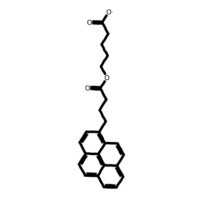 [O]C(=O)CCCCOC(=O)CCCc1ccc2ccc3cccc4ccc1c2c34